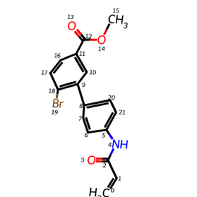 C=CC(=O)Nc1ccc(-c2cc(C(=O)OC)ccc2Br)cc1